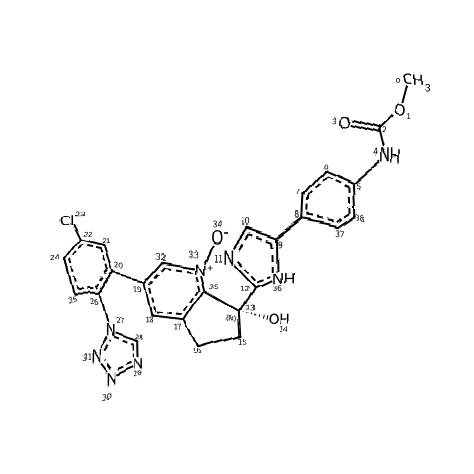 COC(=O)Nc1ccc(-c2cnc([C@@]3(O)CCc4cc(-c5cc(Cl)ccc5-n5cnnn5)c[n+]([O-])c43)[nH]2)cc1